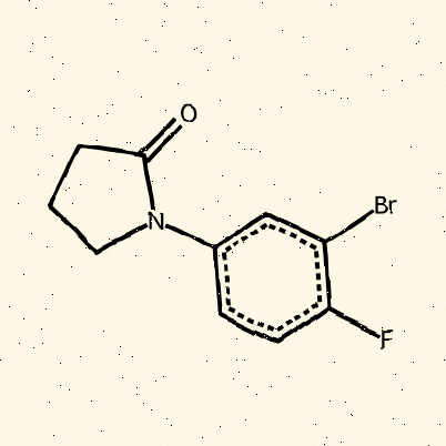 O=C1CCCN1c1ccc(F)c(Br)c1